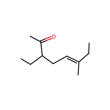 CCC(C)=CCC(CC)C(C)=O